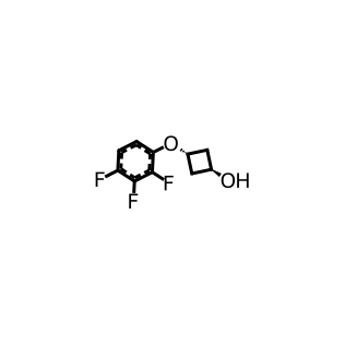 O[C@H]1C[C@H](Oc2ccc(F)c(F)c2F)C1